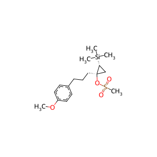 COc1ccc(CCC[C@@]2(OS(C)(=O)=O)C[C@H]2[Si](C)(C)C)cc1